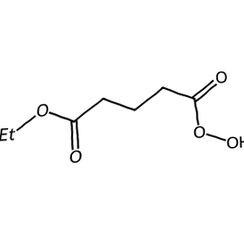 CCOC(=O)CCCC(=O)OO